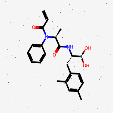 C=CC(=O)N(c1ccccc1)[C@@H](C)C(=O)N[C@@H](Cc1ccc(C)cc1C)B(O)O